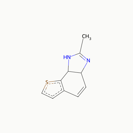 CC1=NC2C=Cc3ccsc3C2N1